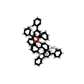 N#Cc1ccccc1-c1ccc2c(c1)c1ccccc1n2-c1cccc(C#N)c1-c1c(-c2nc(-c3ccccc3)nc(-c3ccccc3)n2)cccc1-n1c2ccccc2c2cc(-c3ccccc3C#N)ccc21